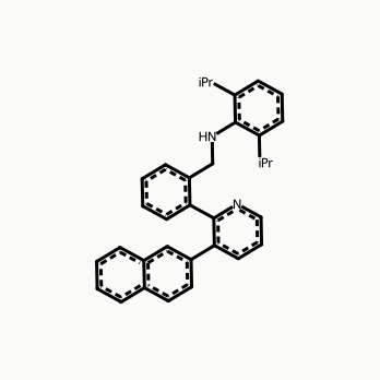 CC(C)c1cccc(C(C)C)c1NCc1ccccc1-c1ncccc1-c1ccc2ccccc2c1